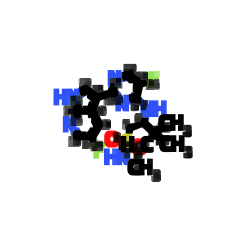 CNS(=O)(=O)C[C@@H](Nc1nc(-c2c[nH]c3ncc(F)cc23)ncc1F)C(C)(C)C